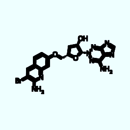 Nc1nc2cc(OC[C@@H]3C[C@@H](O)[C@H](n4nc5ncnc-5c(N)n4)O3)ccc2cc1Br